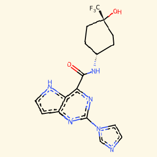 O=C(N[C@H]1CC[C@](O)(C(F)(F)F)CC1)c1nc(-n2ccnc2)nc2cc[nH]c12